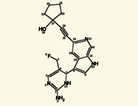 NC1=NC=C(CF)C(c2c[nH]c3cnc(C#CC4(O)CCCC4)cc23)N1